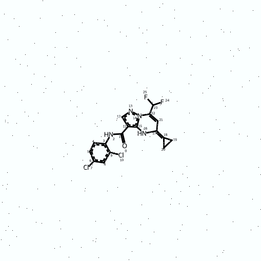 O=C(Nc1ccc(Cl)cc1Cl)c1cnn2c1NC(=C1CC1)C=C2C(F)F